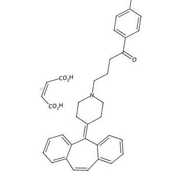 CC(C)(C)c1ccc(C(=O)CCCN2CCC(=C3c4ccccc4C=Cc4ccccc43)CC2)cc1.O=C(O)/C=C\C(=O)O